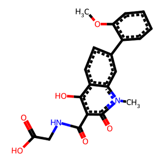 COc1ccccc1-c1ccc2c(O)c(C(=O)NCC(=O)O)c(=O)n(C)c2c1